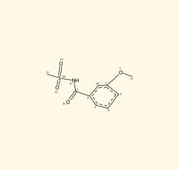 COc1cccc(C(=O)NS(C)(=O)=O)c1